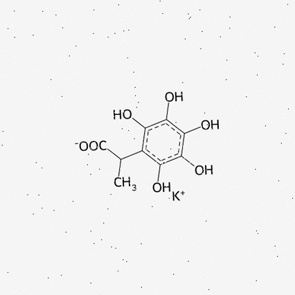 CC(C(=O)[O-])c1c(O)c(O)c(O)c(O)c1O.[K+]